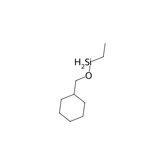 CC[SiH2]OCC1CCCCC1